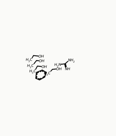 CCO.CCO.CCO.CCO.N=C(N)N.c1ccccc1